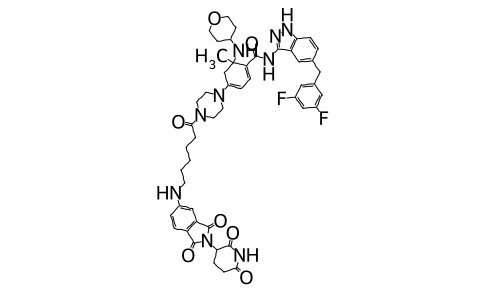 CC1(NC2CCOCC2)CC(N2CCN(C(=O)CCCCCNc3ccc4c(c3)C(=O)N(C3CCC(=O)NC3=O)C4=O)CC2)=CC=C1C(=O)Nc1n[nH]c2ccc(Cc3cc(F)cc(F)c3)cc12